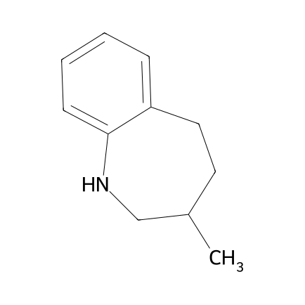 CC1CCc2ccccc2NC1